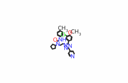 COc1ccc(-c2nc(-c3ccncc3)nn2CCN(C(=O)Nc2ccc(C)cc2)C2CCCC2)cc1Cl